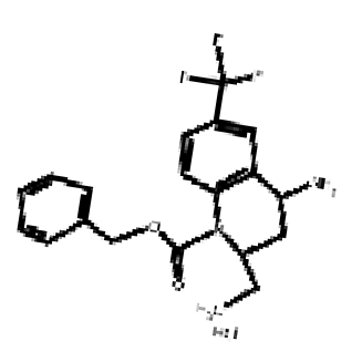 CCC1CC(N)c2cc(C(F)(F)F)ccc2N1C(=O)OCc1ccccc1.Cl